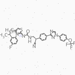 Cc1cs/c(=N\C(=O)NCC(C#N)c2ccc(-c3ncn(-c4ccc(OC(F)(F)F)cc4)n3)cc2)n1-c1ccc(F)cc1C(C)C